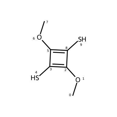 COC1=C(S)C(OC)=C1S